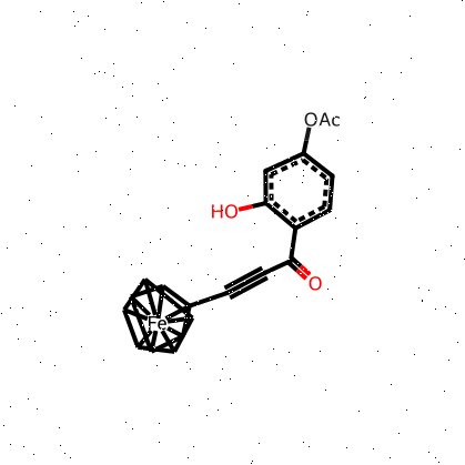 CC(=O)Oc1ccc(C(=O)C#C[C]23[CH]4[CH]5[CH]6[CH]2[Fe]56432789[CH]3[CH]2[CH]7[CH]8[CH]39)c(O)c1